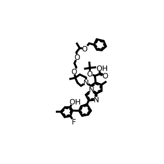 Cc1cc(O)c(-c2cccc(-c3cn4c(N5CCC(C)(OCCOCC(C)OCc6ccccc6)CC5)c(C(OC(C)(C)C)C(=O)O)c(C)cc4n3)c2)c(F)c1